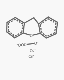 O=C([O-])[O-].[Cs+].[Cs+].c1ccc2c(c1)Cc1ccccc1O2